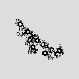 CC(C)Oc1ccccc1[C@H]1CN([C@@H]2CCOc3c(F)cc(F)cc32)CCN1C1CC2(CCN(c3ccc(C(=O)NS(=O)(=O)c4ccc(NC[C@H]5CC[C@](C)(O)CC5)c([N+](=O)[O-])c4)c(N4c5cc6cc[nH]c6nc5O[C@H]5COCC[C@@H]54)c3)CC2)C1